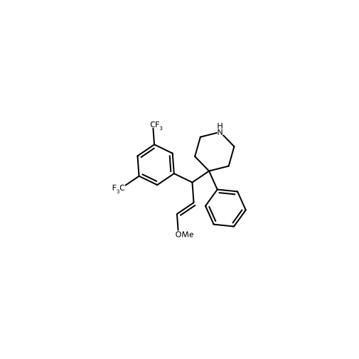 COC=CC(c1cc(C(F)(F)F)cc(C(F)(F)F)c1)C1(c2ccccc2)CCNCC1